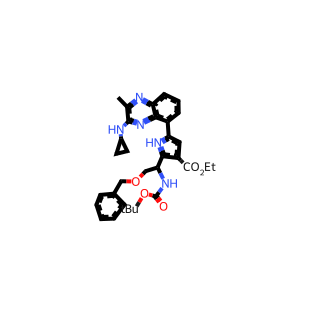 CCOC(=O)c1cc(-c2cccc3nc(C)c(NC4CC4)nc23)[nH]c1C(COCc1ccccc1)NC(=O)OC(C)(C)C